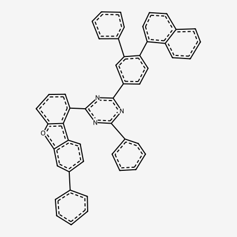 c1ccc(-c2ccc3c(c2)oc2cccc(-c4nc(-c5ccccc5)nc(-c5ccc(-c6cccc7ccccc67)c(-c6ccccc6)c5)n4)c23)cc1